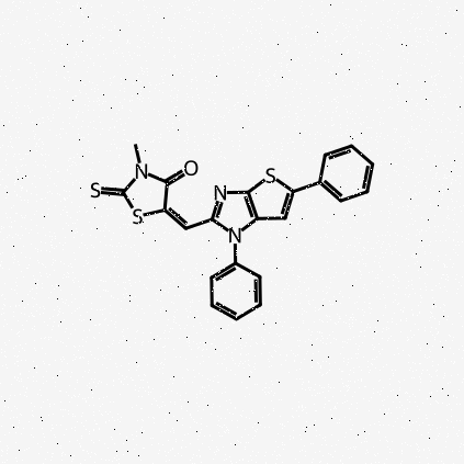 CN1C(=O)/C(=C\c2nc3sc(-c4ccccc4)cc3n2-c2ccccc2)SC1=S